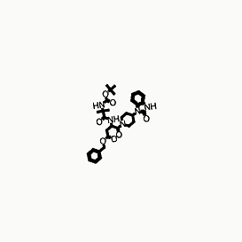 CC(C)(C)OC(=O)NC(C)(C)C(=O)NC(CC(=O)OCc1ccccc1)C(=O)N1CCC(n2c(=O)[nH]c3ccccc32)CC1